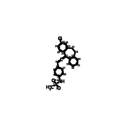 CS(=O)(=O)Nc1ccc(C=C=C2c3ccccc3CCc3cc(Cl)ccc32)cc1